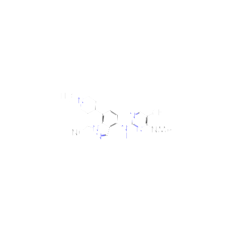 CNc1nc(Nc2ccc(C3CCN(C)CC3)c3c2cnn3CC#N)ncc1C(F)(F)F